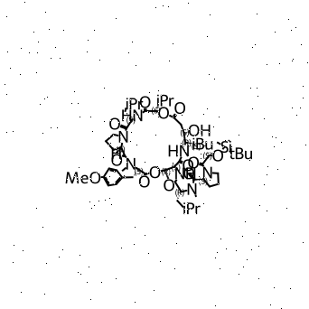 CC[C@H](C)[C@H]1NC(=O)[C@@H](NC(=O)[C@@H](CC(C)C)N(C)C(=O)[C@@H]2CCCN2C(=O)[C@H](C)O[Si](C)(C)C(C)(C)C)[C@@H](C)OC(=O)[C@H](Cc2ccc(OC)cc2)N(C)C(=O)[C@@H]2CCCN2C(=O)[C@H](CC(C)C)NC(=O)[C@H](C(C)C)OC(=O)C[C@@H]1O